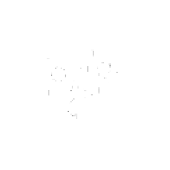 [2H]c1c([2H])c([2H])c(C([2H])([2H])S(=O)(=O)OC2=C(N([2H])[2H])O[C@@]([2H])(c3ccc(C(F)(F)F)cc3)C2=O)c([2H])c1[2H]